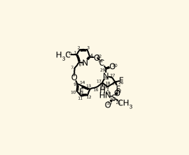 Cc1ccc2nc1COc1cccc(c1F)C[C@H]1[C@@H](NS(C)(=O)=O)C(F)(F)CN1C(=O)CO2